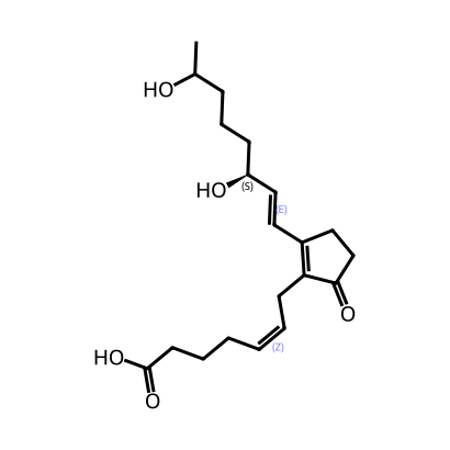 CC(O)CCC[C@H](O)/C=C/C1=C(C/C=C\CCCC(=O)O)C(=O)CC1